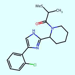 CSC(C)C(=O)N1CCCCC1c1nc(-c2ccccc2Cl)c[nH]1